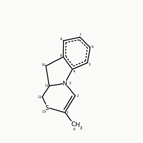 CC1=CN2c3ccccc3CC2CS1